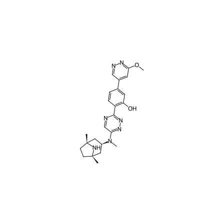 COc1cc(-c2ccc(-c3ncc(N(C)[C@H]4C[C@]5(C)CC[C@](C)(C4)N5)nn3)c(O)c2)cnn1